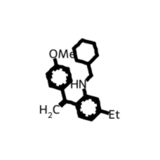 C=C(c1ccc(OC)cc1)c1ccc(CC)cc1NCC1CCCCC1